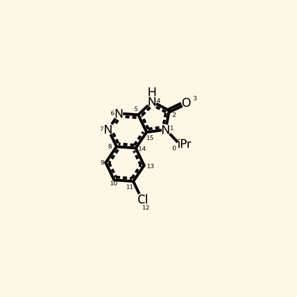 CC(C)n1c(=O)[nH]c2nnc3ccc(Cl)cc3c21